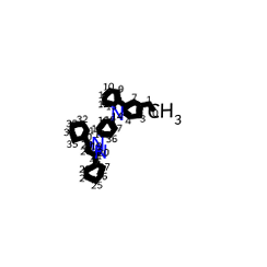 CCc1ccc2c(c1)c1ccccc1n2-c1ccc(-n2nc(-c3ccccc3)cc2-c2ccccc2)cc1